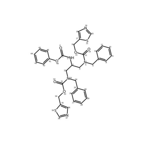 O=C(NC(CN(Cc1ccccc1)C(=O)OCc1cncs1)CN(Cc1ccccc1)C(=O)OCc1cncs1)Oc1ccccc1